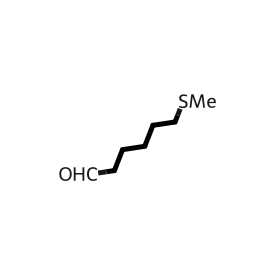 CSCCCCCC=O